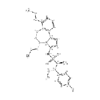 CCOC[C@@H]1COc2c(ccnc2OCC(F)(F)F)-c2nnc(NS(=O)(=O)[C@@H](C)[C@@H](OC(C)C)c3ncc(Cl)cn3)n21